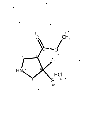 COC(=O)C1CNCC1(F)F.Cl